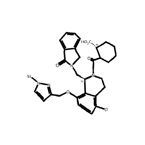 CCn1ccc(COc2ccc(Cl)c3c2[C@@H](CN2Cc4ccccc4C2=O)N(C(=O)C2CCCC[C@H]2C(=O)O)CC3)n1